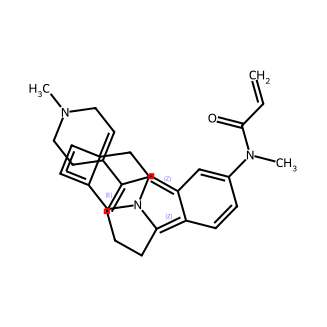 C=CC(=O)N(C)c1ccc2/c(c1)=C\C(C1=CCN(C)CC1)=C/CC/C=2N1CCC2C=C=C2C1